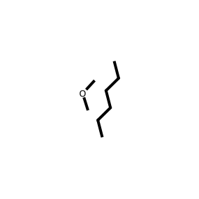 CCCCCC.COC